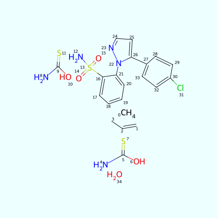 C.C=CC.NC(O)=S.NC(O)=S.NS(=O)(=O)c1ccccc1-n1nccc1-c1ccc(Cl)cc1.O